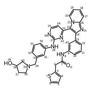 O=C(Cc1cccs1)Nc1cccc(-c2nc3ccccn3c2-c2ccnc(Nc3cccc(CN4CCC(O)C4)c3)n2)c1